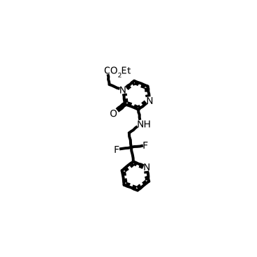 CCOC(=O)Cn1ccnc(NCC(F)(F)c2ccccn2)c1=O